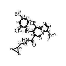 CN(C)c1cnc2c(Cl)c(Nc3ccc(Br)cc3Cl)c(C(=O)NOCC3CC3)cn12